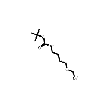 CC(C)(C)OC(=O)NCCCCOCO